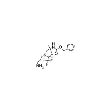 CC(C)(CN(CCCN)C(=O)C(F)(F)F)NC(=O)OCc1ccccc1